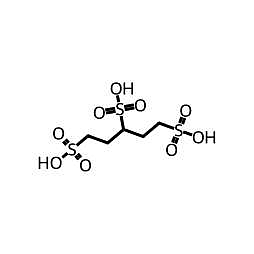 O=S(=O)(O)CCC(CCS(=O)(=O)O)S(=O)(=O)O